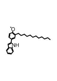 CCCCCCCCCCCCc1cc(-c2cc3ccccc3[nH]2)ccc1OC